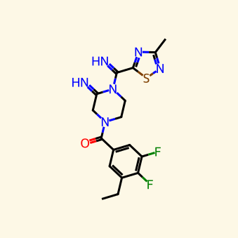 CCc1cc(C(=O)N2CCN(C(=N)c3nc(C)ns3)C(=N)C2)cc(F)c1F